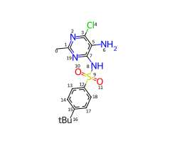 Cc1nc(Cl)c(N)c(NS(=O)(=O)c2ccc(C(C)(C)C)cc2)n1